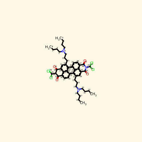 CCCCN(CCCC)CCCc1cc2c3c(ccc4c5c(CCCN(CCCC)CCCC)cc6c7c(ccc(c1c34)c75)C(=O)N(C(Cl)Cl)C6=O)C(=O)C(C(Cl)Cl)C2=O